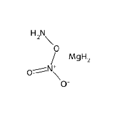 NO[N+](=O)[O-].[MgH2]